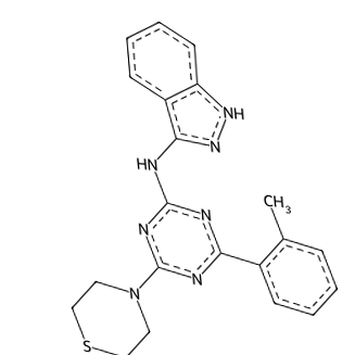 Cc1ccccc1-c1nc(Nc2n[nH]c3ccccc23)nc(N2CCSCC2)n1